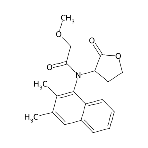 COCC(=O)N(c1c(C)c(C)cc2ccccc12)C1CCOC1=O